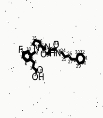 O=C(O)CCc1ccc(F)cc1CN1CCCC1c1nc(C(=O)NCCCCC2CCCCC2)co1